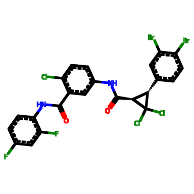 O=C(Nc1ccc(F)cc1F)c1cc(NC(=O)[C@H]2[C@H](c3ccc(Br)c(Br)c3)C2(Cl)Cl)ccc1Cl